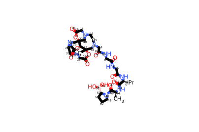 CC(C)[C@H](NC(=O)CNC(=O)CNC(=O)CN1CCN2CC(=O)OC3(CN4CCN5CC(=O)OC(C1)(C5)C3OC(=O)C4)C2)C(=O)N[C@H](C)C(=O)N1CCC[C@H]1B(O)O